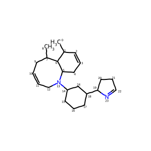 CC1C=CCC2C1C(C)C/C=C\CN2C1CCCC(C2CCC=N2)C1